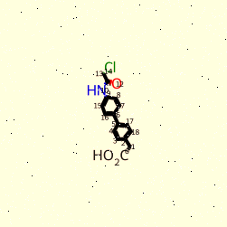 O=C(O)Cc1ccc(-c2ccc(NC(=O)CCl)cc2)cc1